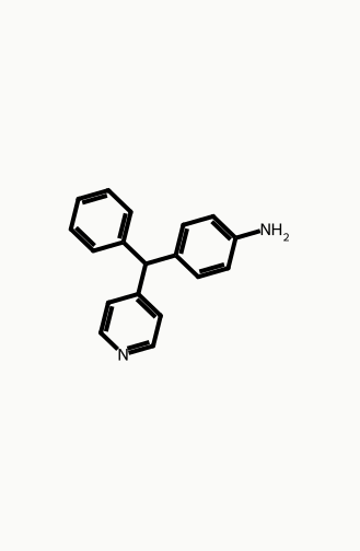 Nc1ccc(C(c2ccccc2)c2ccncc2)cc1